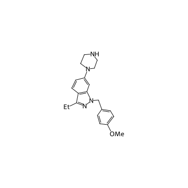 CCc1nn(Cc2ccc(OC)cc2)c2cc(N3CCNCC3)ccc12